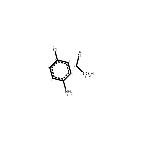 Nc1ccc(Cl)cc1.O=C(O)CCl